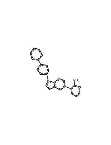 O=[N+]([O-])c1ncccc1-c1cnc2c(ccn2-c2ccc(-c3ccccc3)cc2)c1